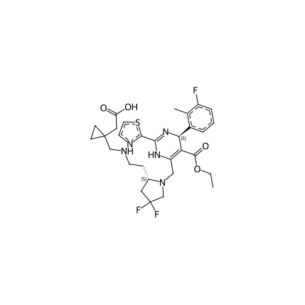 CCOC(=O)C1=C(CN2CC(F)(F)C[C@@H]2CCNCC2(CC(=O)O)CC2)NC(c2nccs2)=N[C@H]1c1cccc(F)c1C